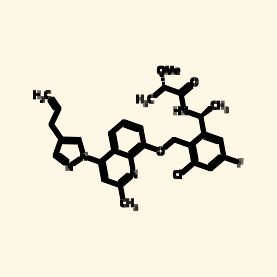 C=CCc1cnn(-c2cc(C)nc3c(OCc4c(Cl)cc(F)cc4[C@H](C)NC(=O)[C@H](C)OC)cccc23)c1